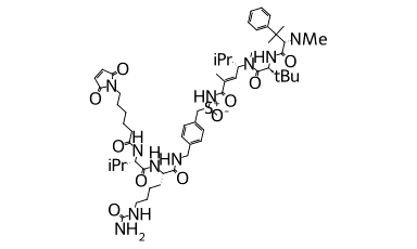 CN[C@H](C(=O)N[C@H](C(=O)N(C)[C@H](/C=C(\C)C(=O)N[S+]([O-])Cc1ccc(CNC(=O)[C@H](CCCCNC(N)=O)NC(=O)[C@@H](NC(=O)CCCCCN2C(=O)C=CC2=O)C(C)C)cc1)C(C)C)C(C)(C)C)C(C)(C)c1ccccc1